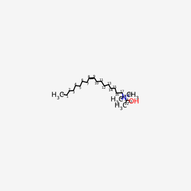 CCCCCCCC/C=C\CCCCCCCC[N+](C)(C)C(C)O